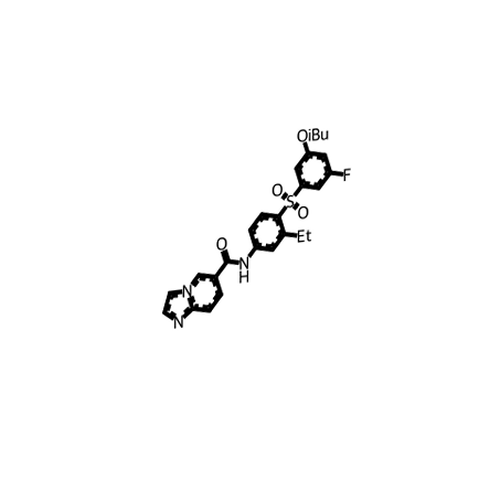 CCc1cc(NC(=O)c2ccc3nccn3c2)ccc1S(=O)(=O)c1cc(F)cc(OCC(C)C)c1